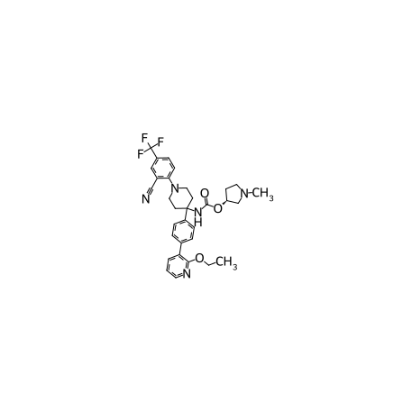 CCOc1ncccc1-c1ccc(C2(NC(=O)O[C@H]3CCN(C)C3)CCN(c3ccc(C(F)(F)F)cc3C#N)CC2)cc1